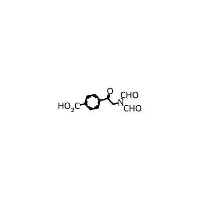 O=CN(C=O)CC(=O)c1ccc(C(=O)O)cc1